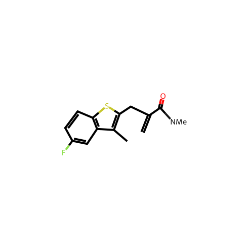 C=C(Cc1sc2ccc(F)cc2c1C)C(=O)NC